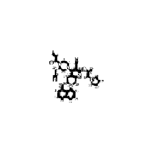 C=CC(=O)N1CCN(c2c(C#N)c(OC(C)CN3CCCC3)nc3c2CCN(c2cccc4cccc(C)c24)C3)C[C@@H]1CC#N